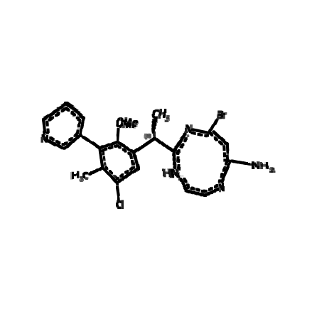 COc1c([C@@H](C)c2nc(Br)cc(N)ncc[nH]2)cc(Cl)c(C)c1-c1cccnc1